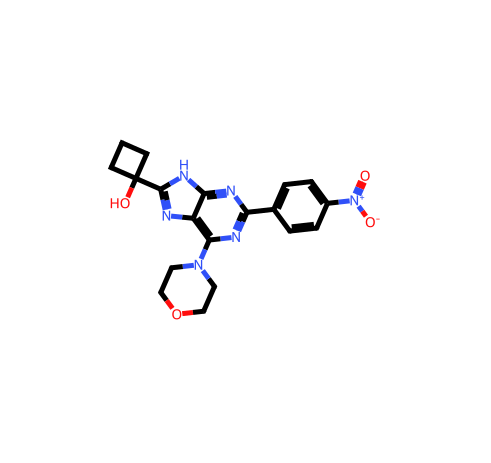 O=[N+]([O-])c1ccc(-c2nc(N3CCOCC3)c3nc(C4(O)CCC4)[nH]c3n2)cc1